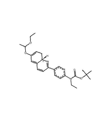 CCOC(C)OC1=CC[C@@H]2N=C(c3ccc(N(CC)C(=O)OC(C)(C)C)nc3)C=CC2=C1